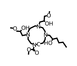 CCCCC(O)CN1CCCN(C(=O)OC)CCN(CC(O)COC)CCCN(CC(O)COC)CC1